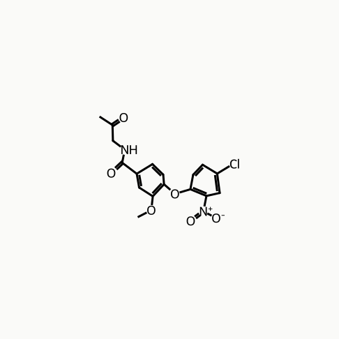 COc1cc(C(=O)NCC(C)=O)ccc1Oc1ccc(Cl)cc1[N+](=O)[O-]